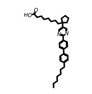 CCCCCCCc1ccc(-c2ccc(-c3ncc(C4(CCCCCCCC(=O)O)CCCC4)cn3)cc2)cc1